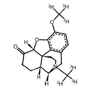 [2H]C([2H])([2H])Oc1ccc2c3c1O[C@H]1C(=O)CC[C@H]4[C@@H](C2)N(C([2H])([2H])[2H])CC[C@]314